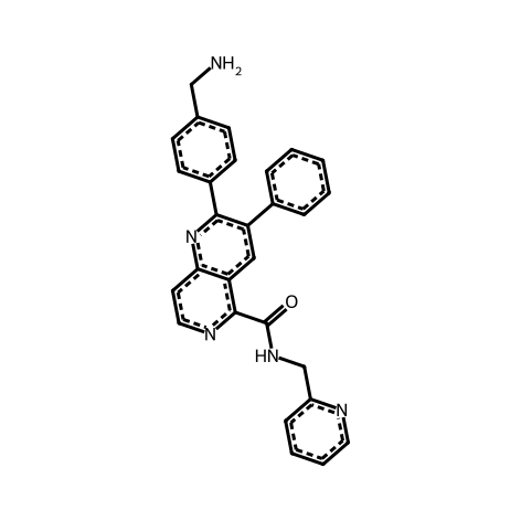 NCc1ccc(-c2nc3ccnc(C(=O)NCc4ccccn4)c3cc2-c2ccccc2)cc1